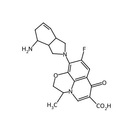 CC1COc2c(N3CC4C=CCC(N)C4C3)c(F)cc3c(=O)c(C(=O)O)cn1c23